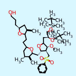 C=C1C[C@H](CCCO)OC1CCC1C[C@@H](C)C(=C)C(C[C@@H]2OC(C[C@@H](CO[Si](C)(C)C(C)(C)C)O[Si](C)(C)C(C)(C)C)[C@H](OC)[C@H]2CS(=O)(=O)c2ccccc2)O1